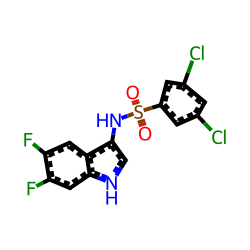 O=S(=O)(Nc1c[nH]c2cc(F)c(F)cc12)c1cc(Cl)cc(Cl)c1